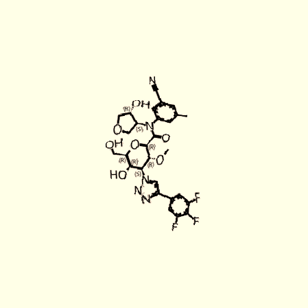 CO[C@@H]1[C@@H](n2cc(-c3cc(F)c(F)c(F)c3)nn2)[C@@H](O)[C@@H](CO)O[C@H]1C(=O)N(c1cc(C)cc(C#N)c1)[C@H]1COC[C@@H]1O